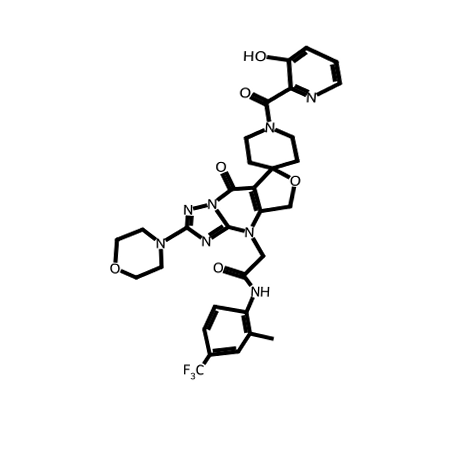 Cc1cc(C(F)(F)F)ccc1NC(=O)Cn1c2c(c(=O)n3nc(N4CCOCC4)nc13)C1(CCN(C(=O)c3ncccc3O)CC1)OC2